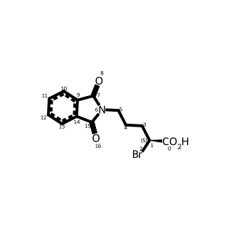 O=C(O)[C@@H](Br)CCCN1C(=O)c2ccccc2C1=O